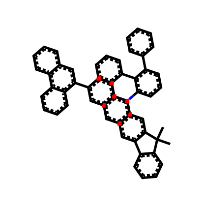 CC1(C)c2ccccc2-c2ccc(N(c3ccc(-c4cc5ccccc5c5ccccc45)cc3)c3cccc(-c4ccccc4)c3-c3ccccc3-c3ccccc3)cc21